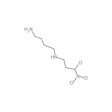 NCCCCNCCC(Cl)N(Cl)Cl